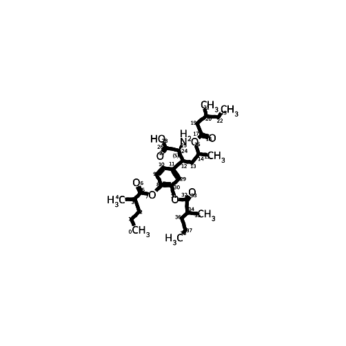 CCCC(C)C(=O)Oc1ccc(C(CC(C)OC(=O)CC(C)CC)[C@H](N)C(=O)O)cc1OC(=O)C(C)CCC